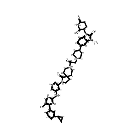 Cn1c(=O)n(C2CCC(=O)NC2=O)c2ccc(C3CCN(CC(=O)N4CCC5(CC4)CCN(c4cncc(Nc6ncc(Cl)c(-c7cccc(C8CC8)c7)n6)c4)C5=O)CC3)cc21